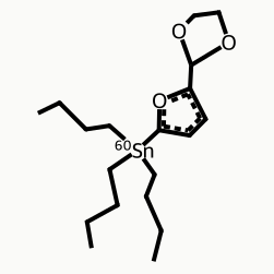 CCC[CH2][60Sn]([CH2]CCC)([CH2]CCC)[c]1ccc(C2OCCO2)o1